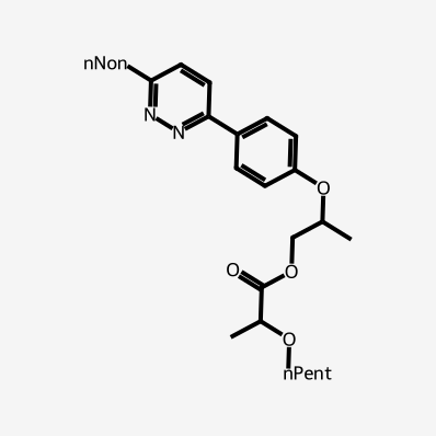 CCCCCCCCCc1ccc(-c2ccc(OC(C)COC(=O)C(C)OCCCCC)cc2)nn1